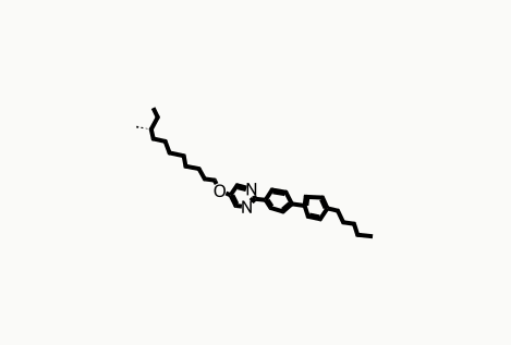 CCCCCc1ccc(-c2ccc(-c3ncc(OCCCCCCCC[C@H](C)CC)cn3)cc2)cc1